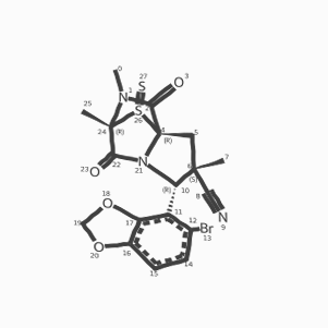 CN1C(=O)[C@]23C[C@](C)(C#N)[C@H](c4c(Br)ccc5c4OCO5)N2C(=O)[C@@]1(C)S3=S